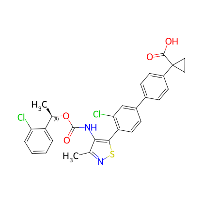 Cc1nsc(-c2ccc(-c3ccc(C4(C(=O)O)CC4)cc3)cc2Cl)c1NC(=O)O[C@H](C)c1ccccc1Cl